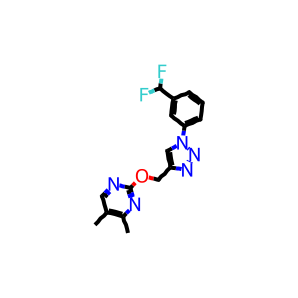 Cc1cnc(OCc2cn(-c3cccc(C(F)F)c3)nn2)nc1C